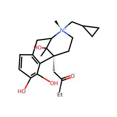 CCC(=O)C[C@]12CC[N@@+](C)(CC3CC3)C(Cc3ccc(O)c(O)c31)C2(C)O